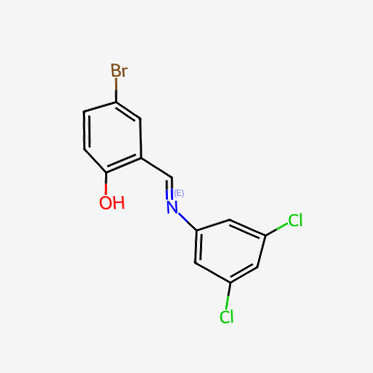 Oc1ccc(Br)cc1/C=N/c1cc(Cl)cc(Cl)c1